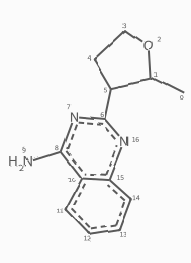 CC1OCCC1c1nc(N)c2ccccc2n1